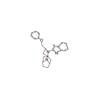 CN(c1nc2ccccc2s1)C1CC2CCC(C1)N2CCCCOc1ccccc1